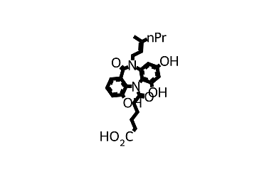 CCC/C(C)=C/CN1C(=O)c2cccc(O)c2N(C(=O)CCCCC(=O)O)c2c(O)cc(O)cc21